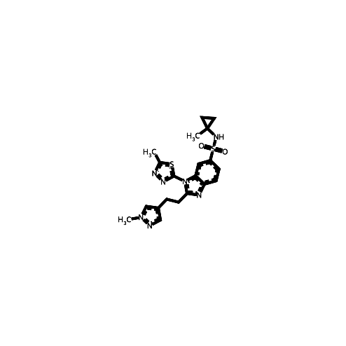 Cc1nnc(-n2c(CCc3cnn(C)c3)nc3ccc(S(=O)(=O)NC4(C)CC4)cc32)s1